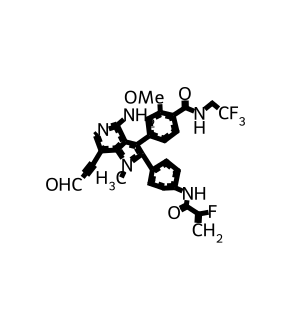 C=C(F)C(=O)Nc1ccc(-c2c(-c3ccc(C(=O)NCC(F)(F)F)c(OC)c3)c3c(N)ncc(C#CC=O)c3n2C)cc1